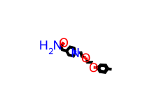 Cc1ccc(OCCOCCN2CCC(CC(N)=O)CC2)cc1